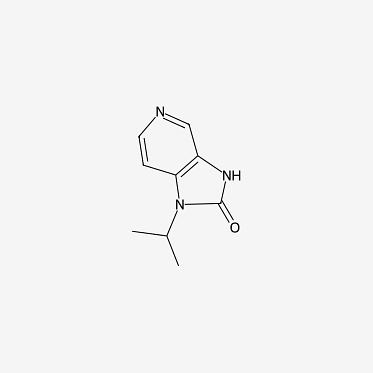 CC(C)n1c(=O)[nH]c2cnccc21